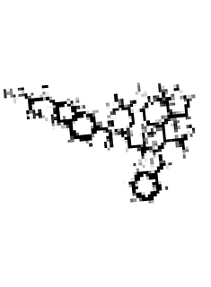 CC(C)CN(CC(O)(O)[C@H](Cc1ccccc1)N(C(=O)O)[C@H]1CCO[C@@H]2OCC[C@H]21)S(=O)(=O)c1ccc2nc(NC(C)C)sc2c1